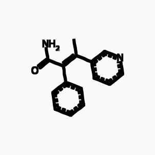 CC(=C(C(N)=O)c1ccccc1)c1cccnc1